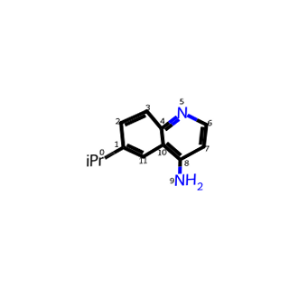 CC(C)c1ccc2nccc(N)c2c1